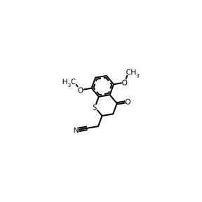 COc1ccc(OC)c2c1SC(CC#N)CC2=O